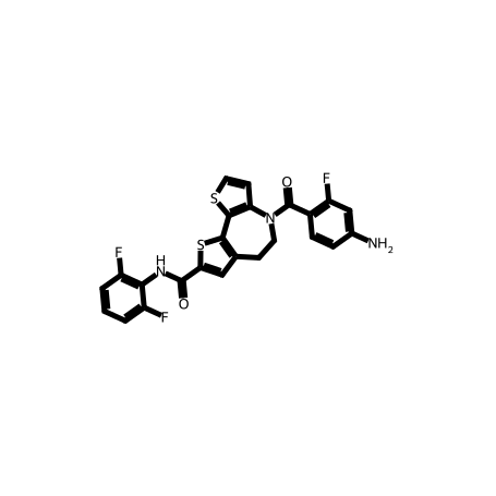 Nc1ccc(C(=O)N2CCc3cc(C(=O)Nc4c(F)cccc4F)sc3-c3sccc32)c(F)c1